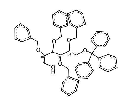 OC[C@@H](OCc1ccccc1)C(OCc1ccccc1)[C@H](OCc1ccccc1)[C@@H](COC(c1ccccc1)(c1ccccc1)c1ccccc1)OCc1ccccc1